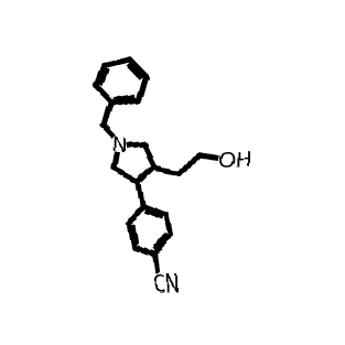 N#Cc1ccc(C2CN(Cc3ccccc3)CC2CCO)cc1